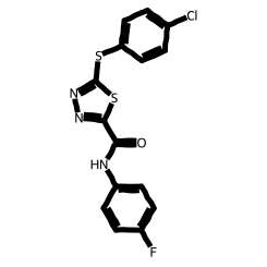 O=C(Nc1ccc(F)cc1)c1nnc(Sc2ccc(Cl)cc2)s1